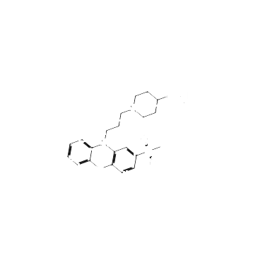 CCOC(=O)C1CCN(CCCN2c3ccccc3Sc3ccc(S(C)(=O)=O)cc32)CC1